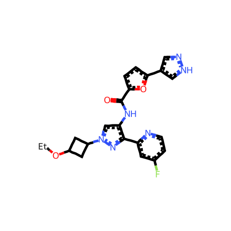 CCOC1CC(n2cc(NC(=O)c3ccc(-c4cn[nH]c4)o3)c(-c3cc(F)ccn3)n2)C1